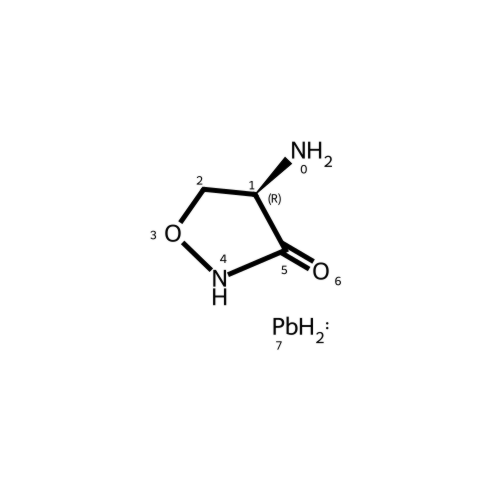 N[C@@H]1CONC1=O.[PbH2]